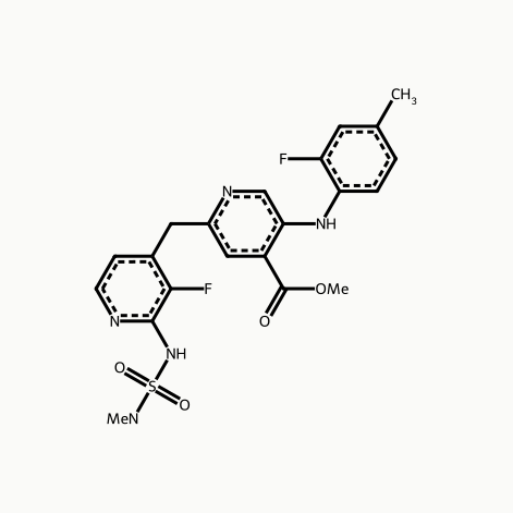 CNS(=O)(=O)Nc1nccc(Cc2cc(C(=O)OC)c(Nc3ccc(C)cc3F)cn2)c1F